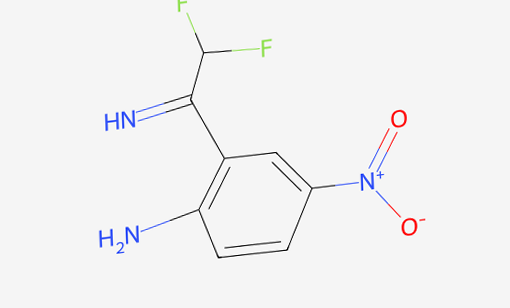 N=C(c1cc([N+](=O)[O-])ccc1N)C(F)F